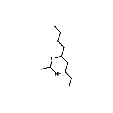 CCCCC(CCCC)OC(C)N